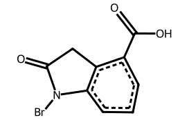 O=C(O)c1cccc2c1CC(=O)N2Br